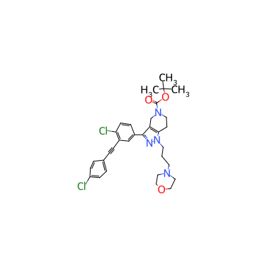 CC(C)(C)OC(=O)N1CCc2c(c(-c3ccc(Cl)c(C#Cc4ccc(Cl)cc4)c3)nn2CCCN2CCOCC2)C1